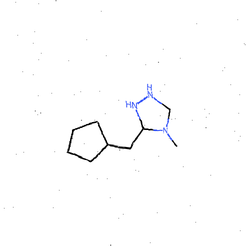 CN1CNNC1CC1CCCC1